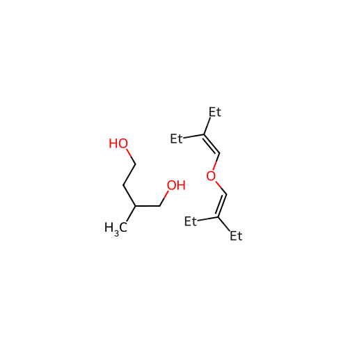 CC(CO)CCO.CCC(=COC=C(CC)CC)CC